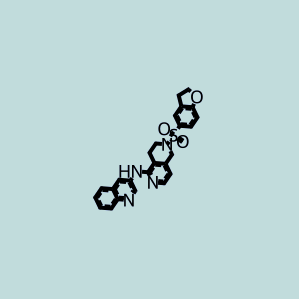 O=S(=O)(c1ccc2c(c1)CCO2)N1CCc2c(ccnc2Nc2cnc3ccccc3c2)C1